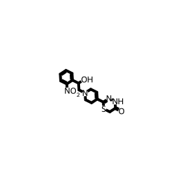 O=C1CSC(C2=CCN(CC(O)c3ccccc3[N+](=O)[O-])CC2)=NN1